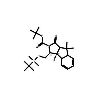 CC(C)(C)OC(=O)N1C(=O)C2[C@H](C3C=CC=CC3C2(C)C)[C@H]1CO[Si](C)(C)C(C)(C)C